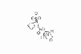 O=C(O[C@H]1C[C@H]2COC[C@@H](C1)N2)c1cn(S(=O)(=O)C2CC2)c2ccccc12